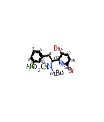 CC(C)(C)N(C(=O)O)[C@@H](Cc1cccc(F)c1)c1nc(Br)ccc1Br